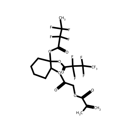 C=C(C)C(=O)OCC(=O)OC1CCCCC1(OC(=O)C(F)(F)C(C)(F)F)OC(=O)C(F)(F)C(F)(F)C(F)(F)F